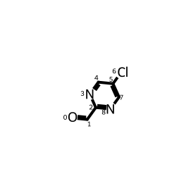 O=Cc1ncc(Cl)cn1